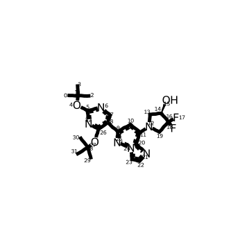 CC(C)(C)Oc1ncc(-c2cc(N3C[C@@H](O)C(F)(F)C3)c3nccn3n2)c(OC(C)(C)C)n1